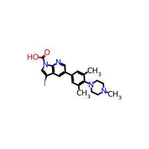 Cc1cc(-c2cnc3c(c2)c(I)cn3C(=O)O)cc(C)c1N1CCN(C)CC1